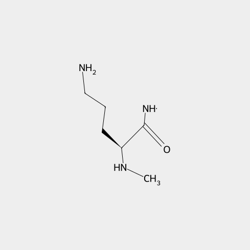 CN[C@@H](CCCN)C([NH])=O